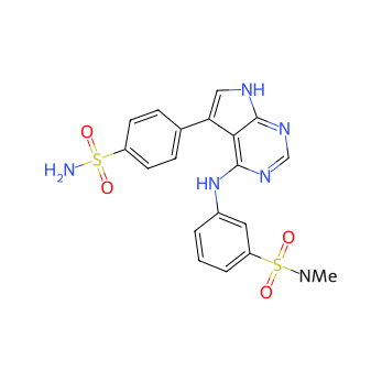 CNS(=O)(=O)c1cccc(Nc2ncnc3[nH]cc(-c4ccc(S(N)(=O)=O)cc4)c23)c1